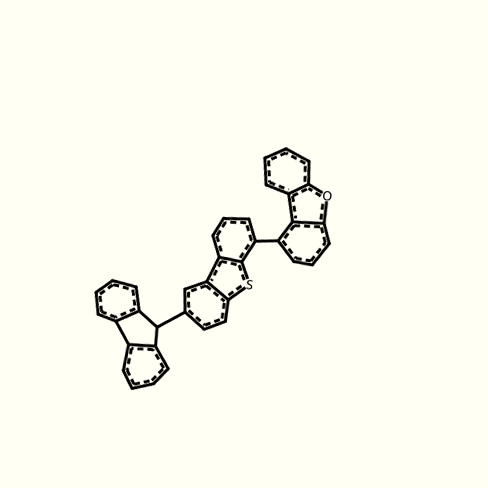 c1ccc2c(c1)-c1ccccc1C2c1ccc2sc3c(-c4cccc5oc6ccccc6c45)cccc3c2c1